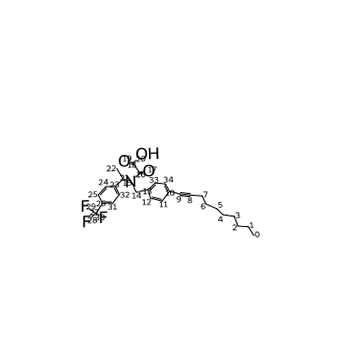 CCCCCCCCC#Cc1ccc(CN(C(=O)C(=O)O)C(C)c2ccc(C(F)(F)F)cc2)cc1